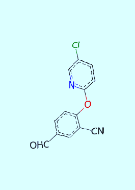 N#Cc1cc(C=O)ccc1Oc1ccc(Cl)cn1